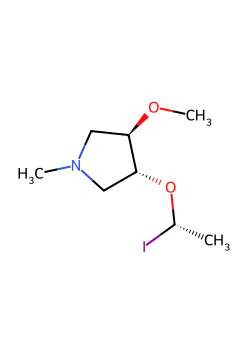 CO[C@@H]1CN(C)C[C@H]1O[C@H](C)I